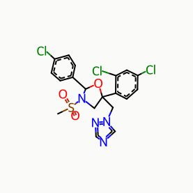 CS(=O)(=O)N1CC(Cn2cncn2)(c2ccc(Cl)cc2Cl)OC1c1ccc(Cl)cc1